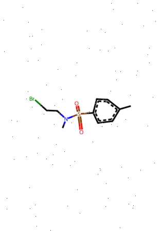 Cc1ccc(S(=O)(=O)N(C)CCBr)cc1